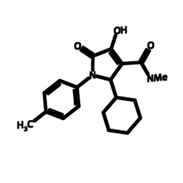 CNC(=O)C1=C(O)C(=O)N(c2ccc(C)cc2)C1C1CCCCC1